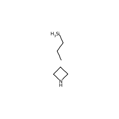 C1CNC1.CCC[SiH3]